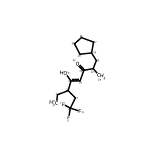 CCC(CC(F)(F)F)/C(O)=C/C(=O)C(C)CC1CCCC1